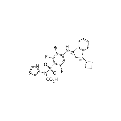 O=C(O)N(c1cscn1)S(=O)(=O)c1c(F)cc(N[C@@H]2C[C@H](N3CCC3)c3ccccc32)c(Br)c1F